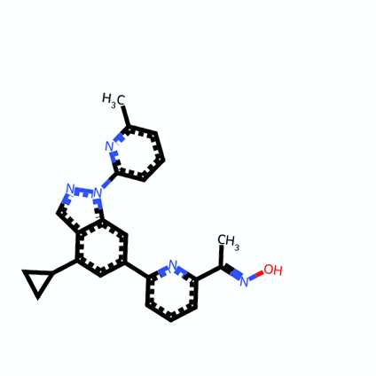 C/C(=N\O)c1cccc(-c2cc(C3CC3)c3cnn(-c4cccc(C)n4)c3c2)n1